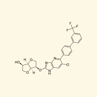 O[C@@H]1CO[C@H]2[C@@H]1OC[C@H]2Oc1nc2nc(-c3ccc(-c4cccc(C(F)(F)F)c4)cc3)c(Cl)cc2[nH]1